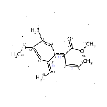 Bc1cc(=C(/C=C\C)C(=O)OC)/c(=C/C)cc1OC